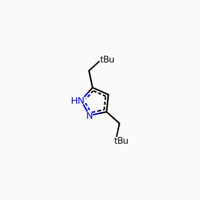 CC(C)(C)Cc1cc(CC(C)(C)C)[nH]n1